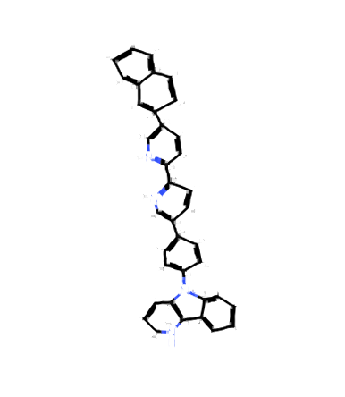 C1=Cc2c(c3ccccc3n2-c2ccc(-c3ccc(-c4ccc(-c5ccc6ccccc6c5)cn4)nc3)cc2)NC1